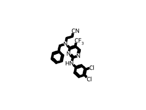 N#CCCN(Cc1ccccc1)c1nc(Nc2ccc(Cl)c(Cl)c2)ncc1C(F)(F)F